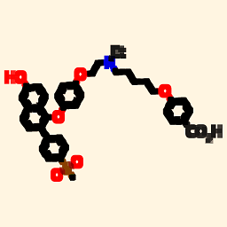 CCN(CCCCCOc1ccc(C(=O)O)cc1)CCOc1ccc(Oc2c(-c3ccc(S(C)(=O)=O)cc3)ccc3cc(O)ccc23)cc1